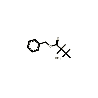 CC(C)(C(=O)O)C(C)(C)C(=O)OCc1ccccc1